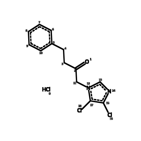 Cl.O=C(CCc1ccccc1)Cn1cnc(Cl)c1Cl